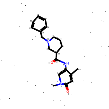 Cc1cc(=O)n(C)cc1NC(=O)C1CCCN(Cc2ccccc2)C1